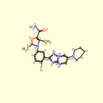 CC1=C(C(N)=O)OC(C)N1c1ccc(F)c(-c2nc3ncc(N4CCCCC4)cn3n2)c1